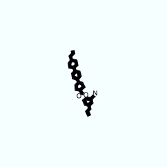 C=CCc1ccc(OC(=O)C2CCC(c3ccc(C4CCC(CC=C)CC4)cc3)CC2)c(C#N)c1